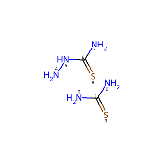 NC(N)=S.NNC(N)=S